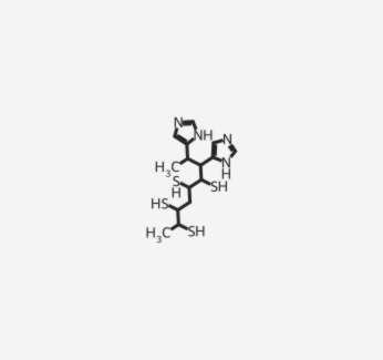 CC(S)C(S)CC(S)C(S)C(c1cnc[nH]1)C(C)c1cnc[nH]1